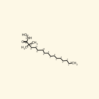 CCCCCCCCCCCCCCC(C)(C)C(=O)NO